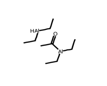 C[CH2][AlH][CH2]C.C[CH2][Al]([CH2]C)[C](C)=O